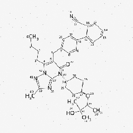 CCCCc1c(Cc2ccc(-c3ccccc3C#N)cc2)c(=O)n([C@H]2CC[C@H](OC(C)C(C)(C)O)CC2)c2nc(C)nn12